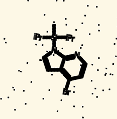 CC(C)[Si](C)(C(C)C)n1ccc2c(Br)ccnc21